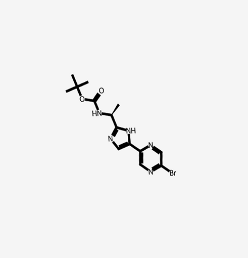 C[C@H](NC(=O)OC(C)(C)C)c1ncc(-c2cnc(Br)cn2)[nH]1